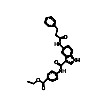 CCOC(=O)c1ccc(NC(=O)c2c[nH]c3ccc(NC(=O)CCc4ccccc4)cc23)cc1